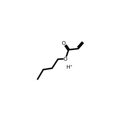 C=CC(=O)OCCCC.[H+]